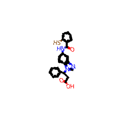 O=C(O)CC(c1ccccc1)n1cnc2cc(NC(=O)c3ccccc3S)ccc21